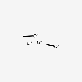 C[O-].C[O-].[Li+].[Li+]